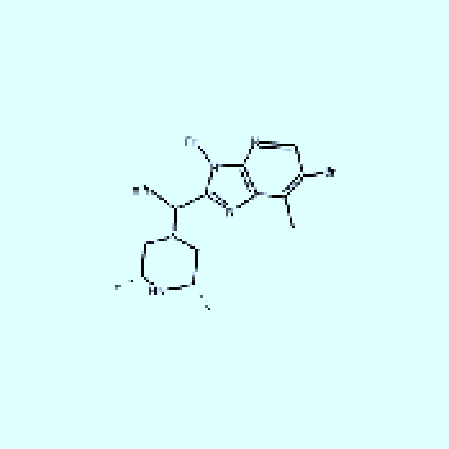 CCCC(c1nc2c(C)c(Br)cnc2n1CC)N1C[C@@H](C)N[C@@H](C)C1